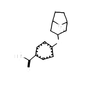 CN1C2CCC1CC(Sc1ccc(C(N)=O)cc1)C2